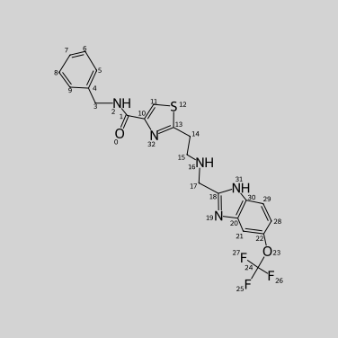 O=C(NCc1ccccc1)c1csc(CCNCc2nc3cc(OC(F)(F)F)ccc3[nH]2)n1